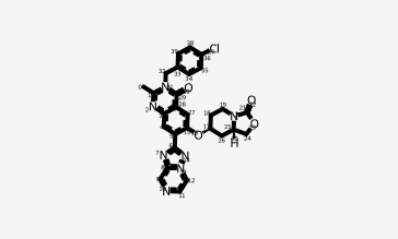 Cc1nc2cc(-c3nc4cnccn4n3)c(O[C@H]3CCN4C(=O)OC[C@@H]4C3)cc2c(=O)n1Cc1ccc(Cl)cc1